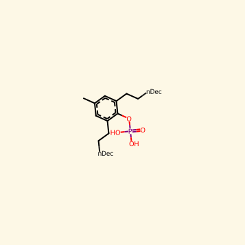 CCCCCCCCCCCCc1cc(C)cc(CCCCCCCCCCCC)c1OP(=O)(O)O